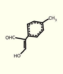 Cc1ccc(/C(C=O)=C/O)cc1